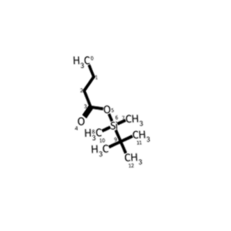 CCCC(=O)O[Si](C)(C)C(C)(C)C